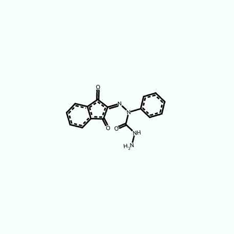 NNC(=O)N(N=c1c(=O)c2ccccc2c1=O)c1ccccc1